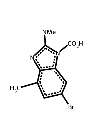 CNc1nc2c(C)cc(Br)cc2n1C(=O)O